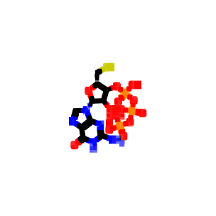 Nc1nc2c(ncn2[C@@H]2O[C@H](CS)[C@@H](OP(=O)(O)OP(=O)(O)OP(=O)(O)O)[C@H]2O)c(=O)[nH]1